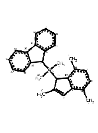 CC1=Cc2c(C)ccc(C)c2C1[Si](C)(C)C1c2ccccc2-c2ccccc21